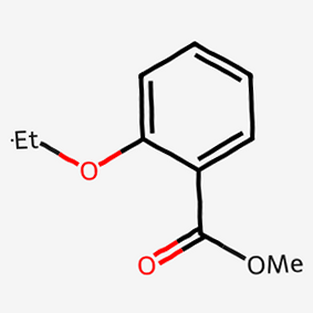 C[CH]Oc1ccccc1C(=O)OC